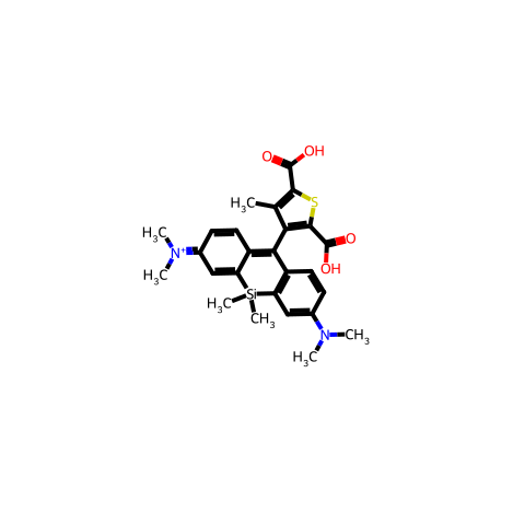 Cc1c(C(=O)O)sc(C(=O)O)c1C1=C2C=CC(=[N+](C)C)C=C2[Si](C)(C)c2cc(N(C)C)ccc21